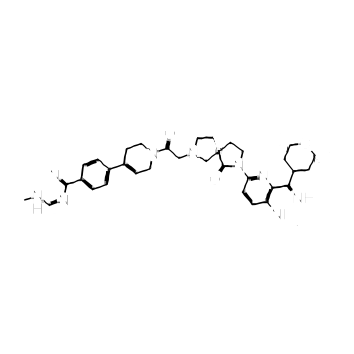 CN/C=N\C(=N)c1ccc(C2=CCN(C(=O)CN3CC[C@]4(CCN(c5ccc(N)c(C(=N)C6C[C@@H](C)O[C@@H](C)C6)n5)C4=O)C3)CC2)cc1